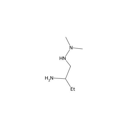 CCC(N)CNN(C)C